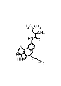 C=C(CN(C)C)C(=O)Nc1cccc(-c2ncnc3[nH]cc(C(=O)OCC)c23)c1